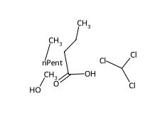 CCCC(=O)O.CCCCCC.CO.ClC(Cl)Cl